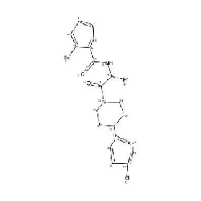 CCc1ccccc1C(=O)NC(C(=O)N1CCC(c2ccc(Cl)cc2)CC1)C(C)C